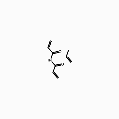 C=CC.C=CC(=O)NC(=O)C=C